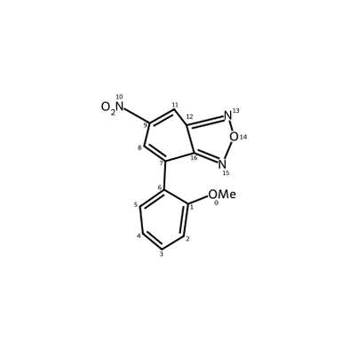 COc1ccccc1-c1cc([N+](=O)[O-])cc2nonc12